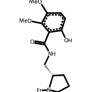 CCN1CCC[C@H]1CNC(=O)c1c(O)ccc(OC)c1OC